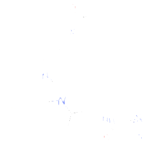 CC(=O)N1CCC(CC(=O)N(Cc2ccsc2)C2CCN(C(C)CCNC(=O)c3c(C)ncnc3C)CC2)CC1